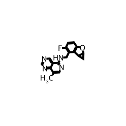 Cc1cnc(NCc2c(F)ccc3c2C2CC2O3)c2cncnc12